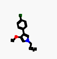 CCOc1cn(CC(=O)O)cc1-c1ccc(Cl)cc1